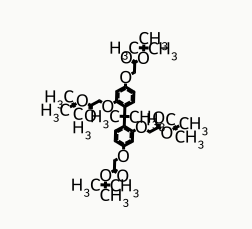 CC(C)(C)OC(=O)COc1ccc(C(C)(C)c2ccc(OCC(=O)OC(C)(C)C)cc2OCC(=O)OC(C)(C)C)c(OCC(=O)OC(C)(C)C)c1